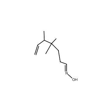 C=CC(C)C(C)(C)CCC=NO